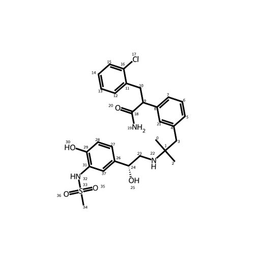 CC(C)(Cc1cccc(C(Cc2ccccc2Cl)C(N)=O)c1)NC[C@H](O)c1ccc(O)c(NS(C)(=O)=O)c1